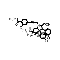 COC(=O)c1ccc(C#CCN2C(CO)C(c3cccc(Cl)c3F)C(C#N)(c3ccc(Cl)cc3F)C2CC(C)(C)C)cc1OC